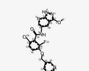 COc1n[nH]c2ncc(NC(=O)c3c(Cl)ccc(OCc4cccnc4)c3F)cc12